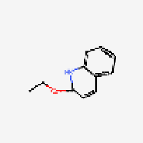 CCOC1C=Cc2ccccc2N1